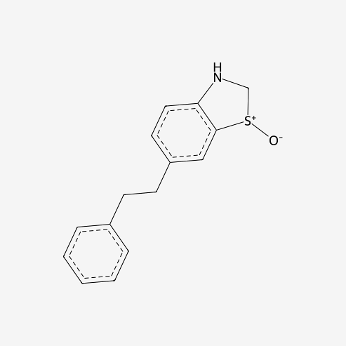 [O-][S+]1CNc2ccc(CCc3ccccc3)cc21